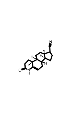 C[C@]12CCC(=O)NC1=CC[C@@H]1[C@H]2CC[C@]2(C)C(C#N)CC[C@@H]12